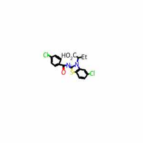 CCC(C(=O)O)n1/c(=N/C(=O)c2ccc(Cl)cc2)sc2ccc(Cl)cc21